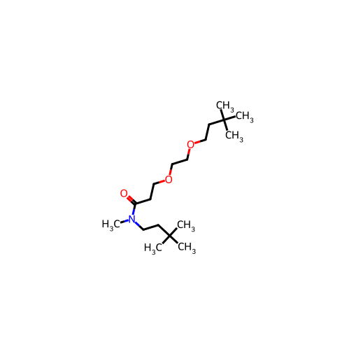 CN(CCC(C)(C)C)C(=O)CCOCCOCCC(C)(C)C